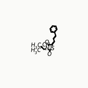 CC(C)(C)CN1C(=O)S/C(=C/C=C/c2ccccc2)C1=O